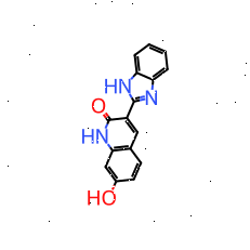 O=c1[nH]c2cc(O)ccc2cc1-c1nc2ccccc2[nH]1